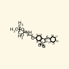 CC(C)(C)OC(=O)NCCOc1ccc2c(c1)S(=O)(=O)CC2Sc1ccccc1